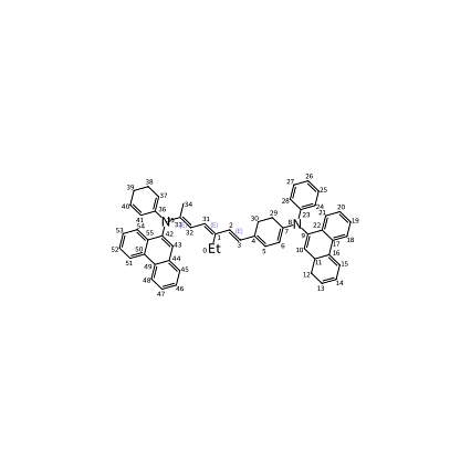 CCC(/C=C/C1=CC=C(N(C2=CC3CC=CC=C3c3ccccc32)c2ccccc2)CC1)=C\C=C(/C)N(C1=CCCC=C1)c1cc2ccccc2c2ccccc12